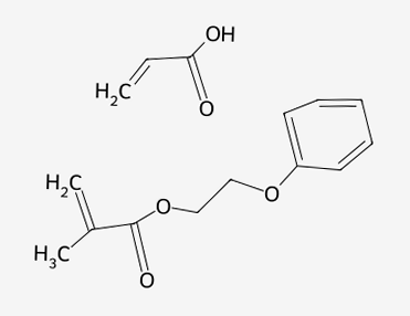 C=C(C)C(=O)OCCOc1ccccc1.C=CC(=O)O